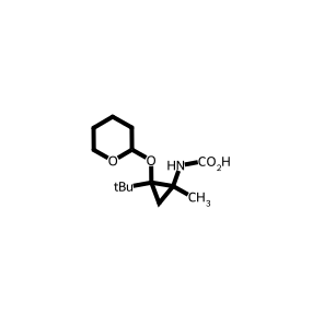 CC(C)(C)C1(OC2CCCCO2)CC1(C)NC(=O)O